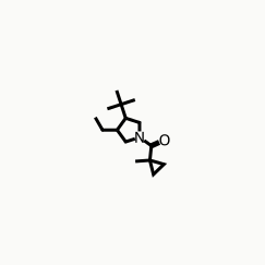 CCC1CN(C(=O)C2(C)CC2)CC1C(C)(C)C